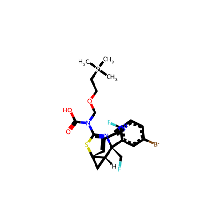 C[Si](C)(C)CCOCN(C(=O)O)C1=N[C@](CF)(c2cc(Br)ccc2F)[C@@H]2C[C@]2(/C=C/C#N)S1